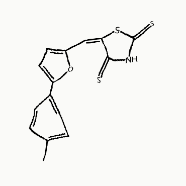 Cc1ccc(-c2ccc(C=C3SC(=S)NC3=S)o2)cc1